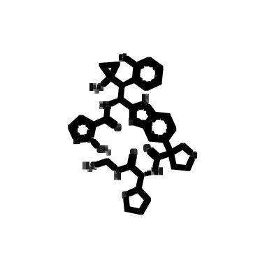 CCNC(=O)[C@H](NC(=O)C1(c2ccc3[nH]c([C@@H](NC(=O)c4ccnn4C)[C@H](c4ccccc4Cl)C4(C)CC4)nc3c2)CCOC1)C1CCCO1